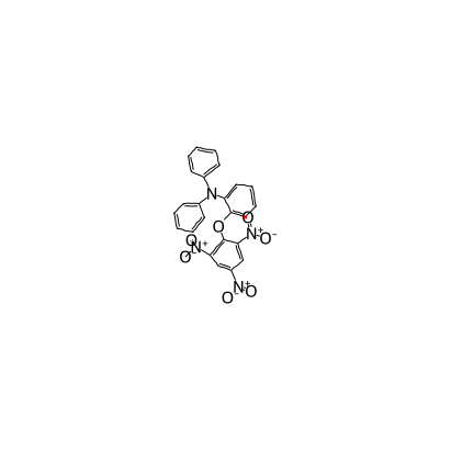 O=[N+]([O-])c1cc([N+](=O)[O-])c(Oc2ccccc2N(c2ccccc2)c2ccccc2)c([N+](=O)[O-])c1